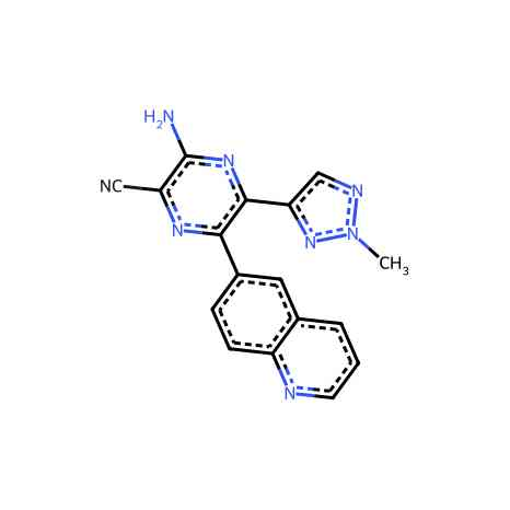 Cn1ncc(-c2nc(N)c(C#N)nc2-c2ccc3ncccc3c2)n1